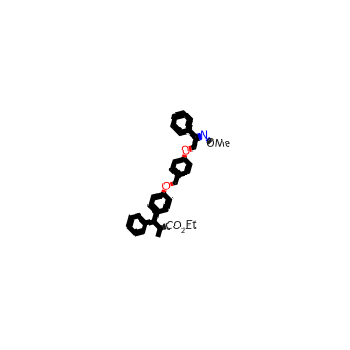 CCOC(=O)C(C)C(c1ccccc1)c1ccc(OCc2ccc(OC/C(=N\OC)c3ccccc3)cc2)cc1